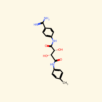 Cc1ccc(NC(=O)[C@H](O)[C@@H](O)C(=O)Nc2ccc(C(=N)N)cc2)cc1